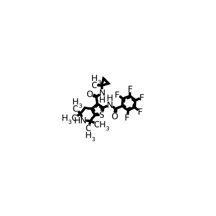 CC1(C)Cc2c(sc(NC(=O)c3c(F)c(F)c(F)c(F)c3F)c2C(=O)NC2(C)CC2)C(C)(C)N1